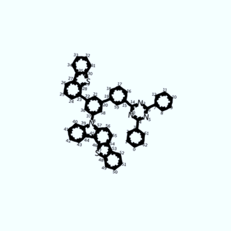 c1ccc(-c2nc(-c3ccccc3)nc(-c3cccc(-c4cc(-c5cccc6c5sc5ccccc56)cc(-n5c6ccccc6c6c7sc8ccccc8c7ccc65)c4)c3)n2)cc1